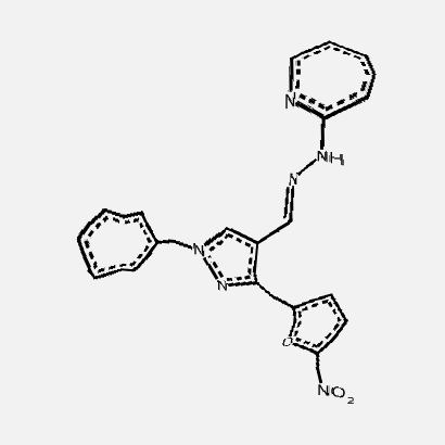 O=[N+]([O-])c1ccc(-c2nn(-c3ccccc3)cc2C=NNc2ccccn2)o1